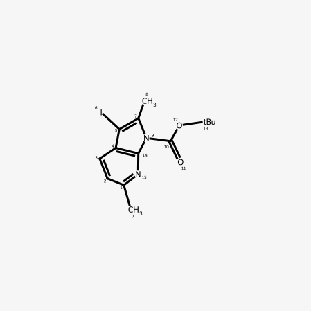 Cc1ccc2c(I)c(C)n(C(=O)OC(C)(C)C)c2n1